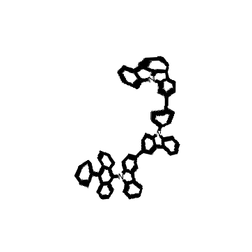 c1ccc(-c2c3ccccc3c(-n3c4ccccc4c4cc(-c5ccc6c(c5)c5ccccc5n6-c5ccc(-c6ccc7c8cccc9c%10ccccc%10n(c7c6)c98)cc5)ccc43)c3ccccc23)cc1